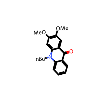 CCCCn1c2ccccc2c(=O)c2cc(OC)c(OC)cc21